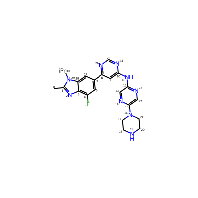 Cc1nc2c(F)cc(-c3cc(Nc4cnc(N5CCNCC5)cn4)ncn3)cc2n1C(C)C